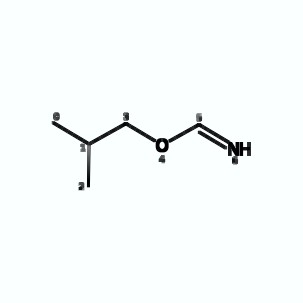 CC(C)COC=N